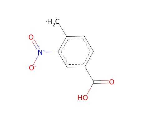 [CH2]c1ccc(C(=O)O)cc1[N+](=O)[O-]